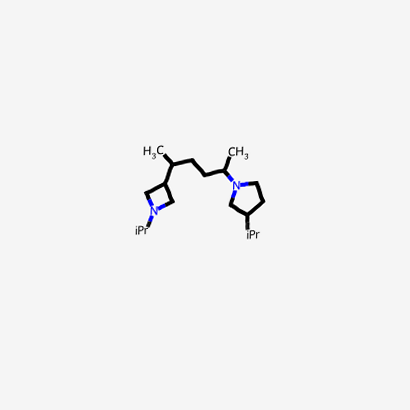 CC(C)C1CCN(C(C)CCC(C)C2CN(C(C)C)C2)C1